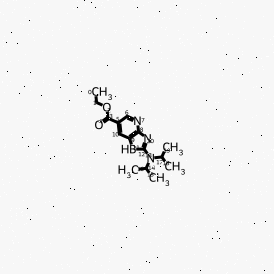 CCOC(=O)c1cnc2c(c1)BC(N(C(C)C)C(C)C)=N2